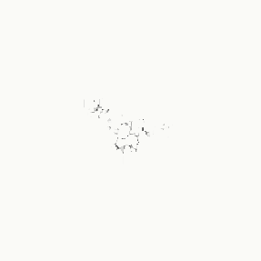 CNS(=O)(=O)C[C@H]1CC[C@H](N(C)c2c(C(=O)OCC3CC3)cnc3[nH]ccc23)CC1